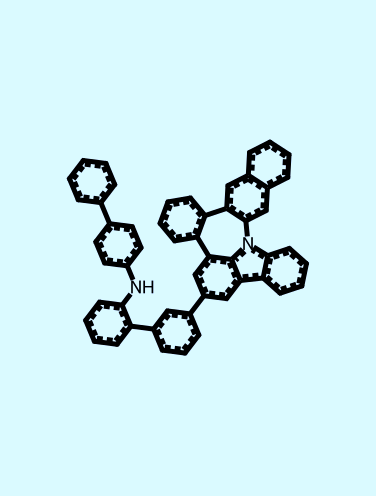 c1ccc(-c2ccc(Nc3ccccc3-c3cccc(-c4cc5c6c(c4)c4ccccc4n6-c4cc6ccccc6cc4-c4ccccc4-5)c3)cc2)cc1